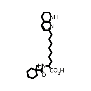 CC1(C(=O)NC(CCCCCCCc2ccc3c(n2)NCCC3)C(=O)O)CCCCC1